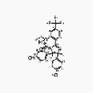 CCOc1cc(C(F)(F)F)ccc1C1=NC(C)(c2ccc(Cl)cc2)C(C)(c2ccc(Cl)cc2)N1C(=O)O